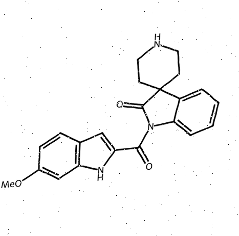 COc1ccc2cc(C(=O)N3C(=O)C4(CCNCC4)c4ccccc43)[nH]c2c1